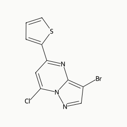 Clc1cc(-c2cccs2)nc2c(Br)cnn12